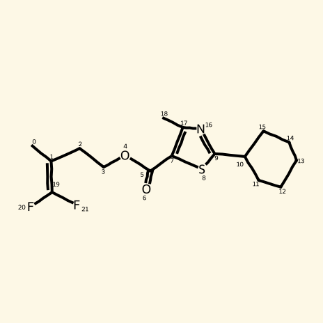 CC(CCOC(=O)c1sc(C2CCCCC2)nc1C)=C(F)F